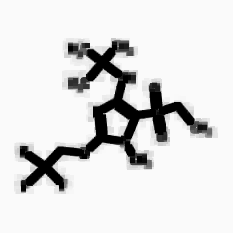 CCS(=O)(=O)c1c(NC(C)(C)C)nc(OCC(F)(F)F)n1C